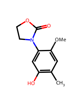 COc1cc(C)c(O)cc1N1CCOC1=O